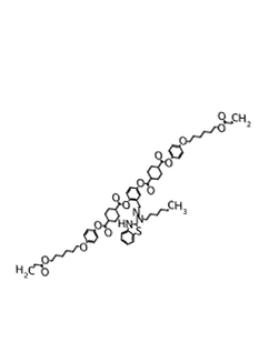 C=CC(=O)OCCCCCCOc1ccc(OC(=O)C2CCC(C(=O)Oc3ccc(OC(=O)C4CCC(C(=O)Oc5ccc(OCCCCCCOC(=O)C=C)cc5)CC4)c(/C=N/N(CCCCCC)C4Nc5ccccc5S4)c3)CC2)cc1